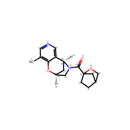 N#Cc1cncc2c1O[C@H]1C[C@@H]2N(C(=O)C23CCC(CO2)C3)C1